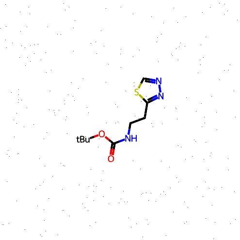 CC(C)(C)OC(=O)NCCc1nncs1